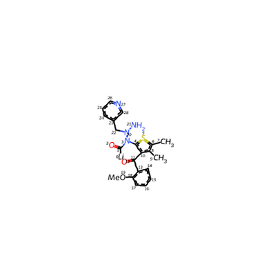 [Li][C](=O)N(c1sc(C)c(C)c1C(=O)c1ccccc1OC)N(N)Cc1cccnc1